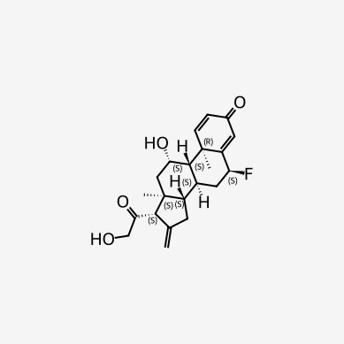 C=C1C[C@H]2[C@@H]3C[C@H](F)C4=CC(=O)C=C[C@]4(C)[C@H]3[C@@H](O)C[C@]2(C)[C@H]1C(=O)CO